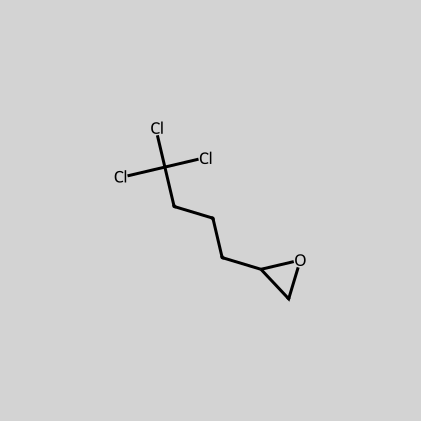 ClC(Cl)(Cl)CCCC1CO1